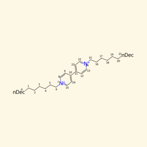 CCCCCCCCCCCCCCCC[n+]1ccc(-c2cc[n+](CCCCCCCCCCCCCCCC)cc2)cc1